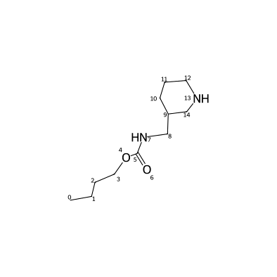 CCCCOC(=O)NCC1CCCNC1